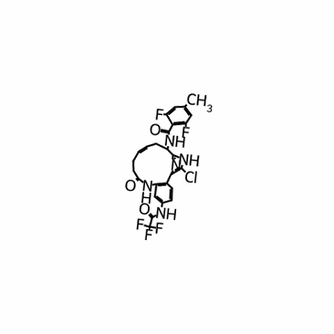 Cc1cc(F)c(C(=O)NC2CC=CCCC(=O)Nc3cc(NC(=O)C(F)(F)F)ccc3-c3nc2[nH]c3Cl)c(F)c1